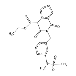 CCOC(=O)C1C(=O)N(Cc2cccc(N(C)S(C)(=O)=O)c2)C(=O)c2ccccc21